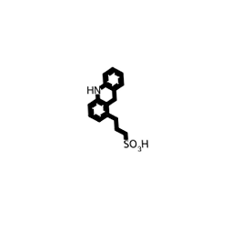 O=S(=O)(O)CCCc1cccc2c1Cc1ccccc1N2